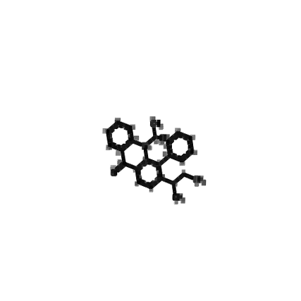 CCC(C)c1ccc2c(c1-c1ccccc1)B(C(C)C)c1ccccc1C2=O